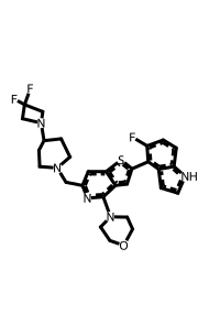 Fc1ccc2[nH]ccc2c1-c1cc2c(N3CCOCC3)nc(CN3CCC(N4CC(F)(F)C4)CC3)cc2s1